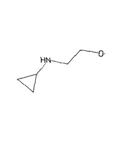 [O]CCNC1CC1